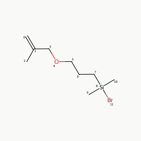 C=C(C)COCCC[Si](C)(C)Br